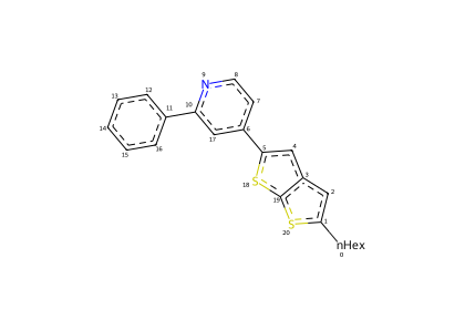 CCCCCCc1cc2cc(-c3ccnc(-c4ccccc4)c3)sc2s1